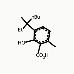 CCCCC(C)(CC)c1ccc(C)c(C(=O)O)c1O